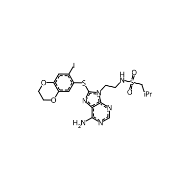 CC(C)CS(=O)(=O)NCCn1c(Sc2cc3c(cc2I)OCCO3)nc2c(N)ncnc21